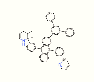 CC1CC=CNC1(C)c1cccc(-c2c3ccccc3c(-c3cccc([C@@H]4CC=CC=N4)c3)c3cc(-c4cc(-c5ccccc5)cc(-c5ccccc5)c4)ccc23)c1